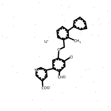 Cc1c(COc2cc(-c3cncc(C(=O)[O-])c3)c(C=O)cc2Cl)cccc1-c1ccccc1.[Li+]